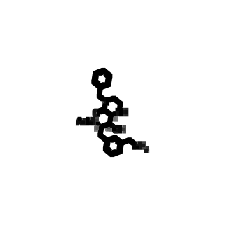 CC(=O)N[C@@H](Cc1cccc(CN)c1)[C@H](O)[C@@H]1NCCN(Cc2ccccc2)C1=O